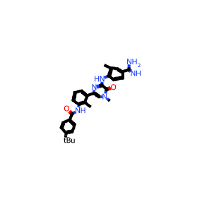 Cc1cc(C(=N)N)ccc1Nc1nc(-c2cccc(NC(=O)c3ccc(C(C)(C)C)cc3)c2C)cn(C)c1=O